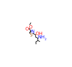 CCOC(=O)c1csc([C@H](O)C[C@@H](N)C(C)CC)n1